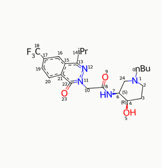 CCCCN1CC[C@@H](O)[C@@H](NC(=O)Cn2nc(C(C)C)c3cc(C(F)(F)F)ccc3c2=O)C1